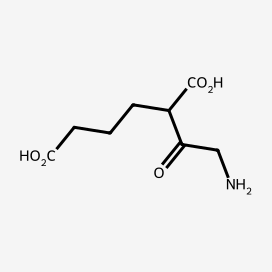 NCC(=O)C(CCCC(=O)O)C(=O)O